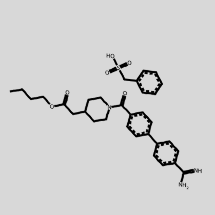 CCCCOC(=O)CC1CCN(C(=O)c2ccc(-c3ccc(C(=N)N)cc3)cc2)CC1.O=S(=O)(O)Cc1ccccc1